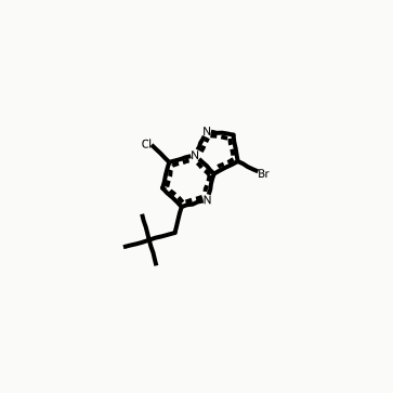 CC(C)(C)Cc1cc(Cl)n2ncc(Br)c2n1